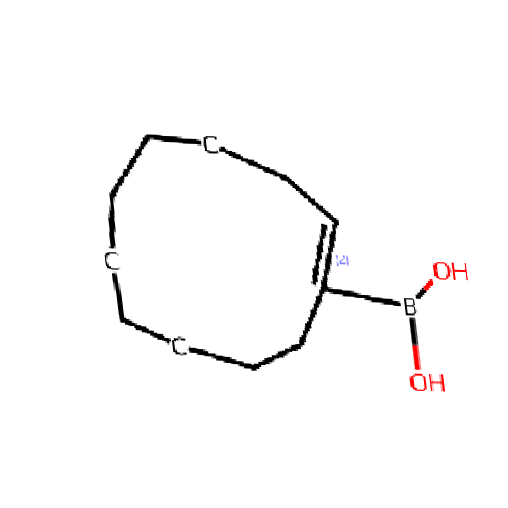 OB(O)/C1=C/CCCCCCCCC1